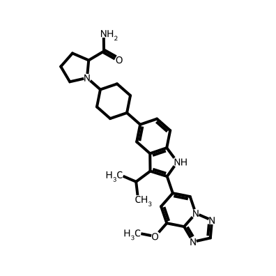 COc1cc(-c2[nH]c3ccc(C4CCC(N5CCCC5C(N)=O)CC4)cc3c2C(C)C)cn2ncnc12